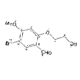 COc1cc(OCCO)c(C=O)cc1Br